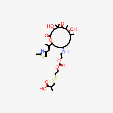 C/C(=C\c1csc(C)n1)C1CCC(NCCOC(=O)OCCSSCC(C)C(=O)O)CCCC(C)C(O)C(C)C(=O)C(C)(C)C(O)CC(=O)O1